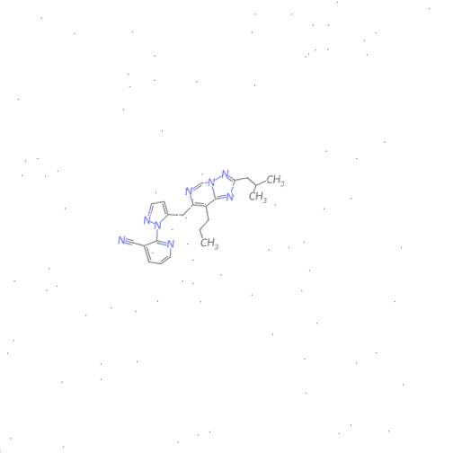 CCCc1c(Cc2ccnn2-c2ncccc2C#N)ncn2nc(CC(C)C)nc12